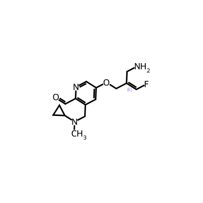 CN(Cc1cc(OC/C(=C/F)CN)cnc1C=O)C1CC1